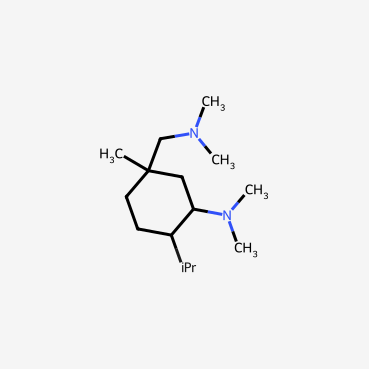 CC(C)C1CCC(C)(CN(C)C)CC1N(C)C